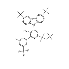 Cc1cc(-c2cc(C(C)(C)CC(C)(C)C)cc(-n3c4ccc(C(C)(C)C)cc4c4cc(C(C)(C)C)ccc43)c2O)cc(C(F)(F)F)c1